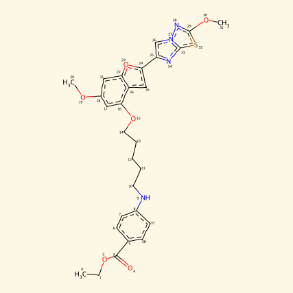 CCOC(=O)c1ccc(NCCCCCOc2cc(OC)cc3oc(-c4cn5nc(OC)sc5n4)cc23)cc1